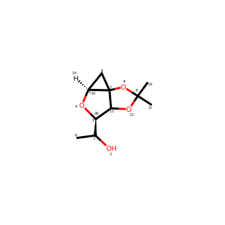 CC(O)[C@H]1O[C@H]2CC23OC(C)(C)OC13